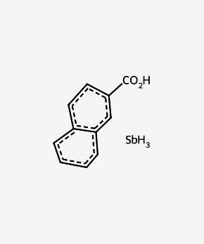 O=C(O)c1ccc2ccccc2c1.[SbH3]